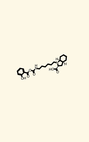 O=C(NCCCCCCN1[C@H](C(=O)O)C[C@@H]2CCCC[C@@H]21)OC(=O)c1ccccc1O